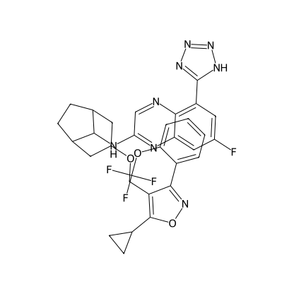 Fc1cc(-c2nnn[nH]2)c2ncc(NC3C4CCC3CC(OCc3c(-c5ccccc5OC(F)(F)F)noc3C3CC3)C4)nc2c1